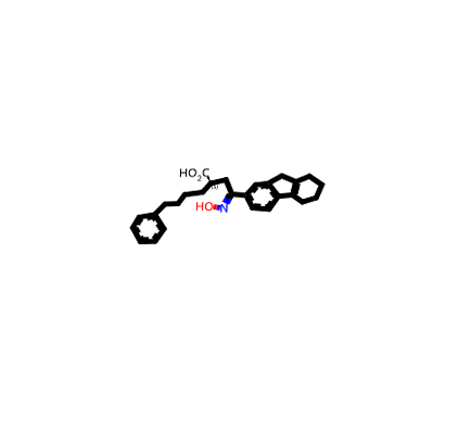 O=C(O)[C@@H](CCCCc1ccccc1)CC(=NO)c1ccc2c(c1)CC1=C2CCCC1